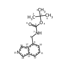 CC(C)(C)OC(=O)NCc1cccc2cncn12